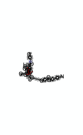 CCC(C)(CC(C)(C(=O)OCCCCCCOc1ccc(C(=O)Oc2ccc(-c3ccc(C#N)cc3)cc2)cc1)C(C)(CC(C)(C)C(=O)OC1CCCCO1)C(=O)OCC1CO1)C(=O)Oc1ccc(NC(=O)/C=C/c2ccc(OC)cc2)cc1